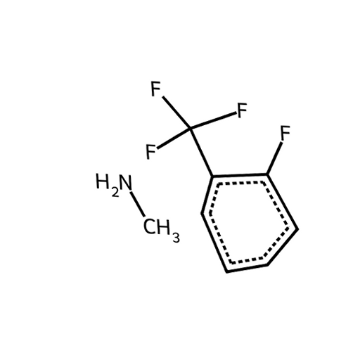 CN.Fc1ccccc1C(F)(F)F